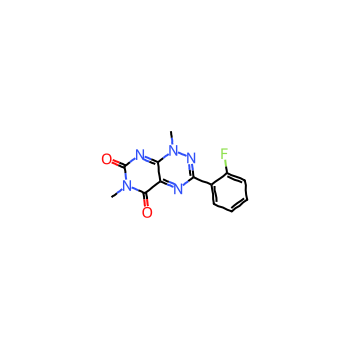 Cn1nc(-c2ccccc2F)nc2c(=O)n(C)c(=O)nc1-2